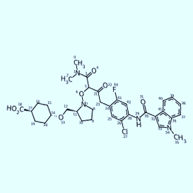 CN(C)C(=O)C(ON1CCC[C@H]1CO[C@H]1CC[C@H](C(=O)O)CC1)C(=O)Cc1cc(Cl)c(NC(=O)c2cn(C)c3ccccc23)cc1F